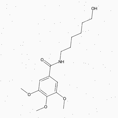 COc1cc(C(=O)NCCCCCCO)cc(OC)c1OC